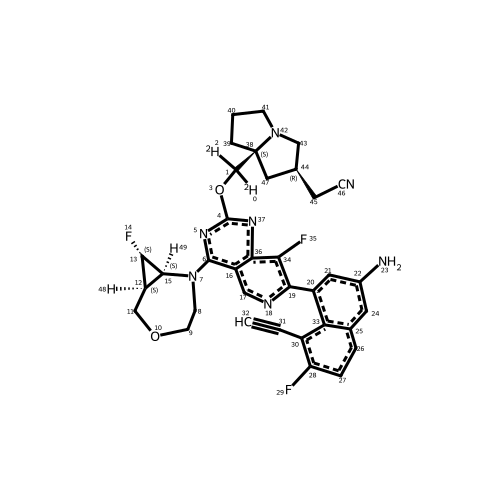 [2H]C([2H])(Oc1nc(N2CCOC[C@H]3[C@H](F)[C@H]32)c2cnc(-c3cc(N)cc4ccc(F)c(C#C)c34)c(F)c2n1)[C@@]12CCCN1C[C@@H](CC#N)C2